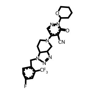 N#Cc1c(N2CCC3C(C2)N=NN3Cc2ccc(F)cc2C(F)(F)F)cnn(C2CCCCO2)c1=O